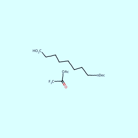 CC(=O)OC(=O)C(F)(F)F.CCCCCCCCCCCCCCCCCC(=O)O